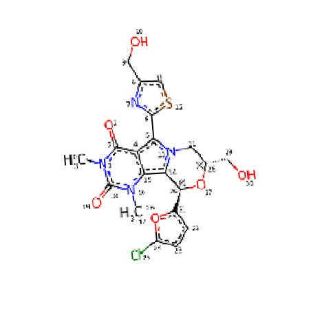 Cn1c(=O)c2c(-c3nc(CO)cs3)n3c(c2n(C)c1=O)[C@H](c1ccc(Cl)o1)O[C@@H](CO)C3